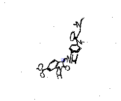 COC(=O)c1ccc2c(c1)NC(=O)/C2=C\Nc1ccc(N(C)C(=O)CN(C)C)cc1